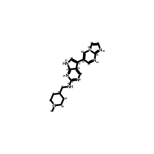 CN1CCC(CNc2ncc3c(-c4cnc5nccn5c4)c[nH]c3n2)CC1